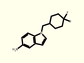 Nc1ccc2c(ccn2CC2CCC(F)(F)CC2)c1